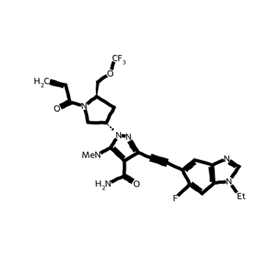 C=CC(=O)N1C[C@@H](n2nc(C#Cc3cc4ncn(CC)c4cc3F)c(C(N)=O)c2NC)C[C@@H]1COC(F)(F)F